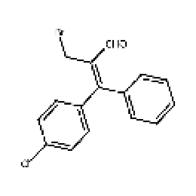 O=C/C(CBr)=C(\c1ccccc1)c1ccc(Cl)cc1